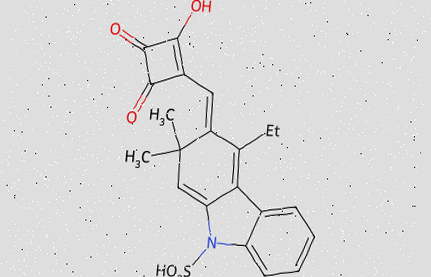 CCC1=c2c(n(S(=O)(=O)O)c3ccccc23)=CC(C)(C)C1=Cc1c(O)c(=O)c1=O